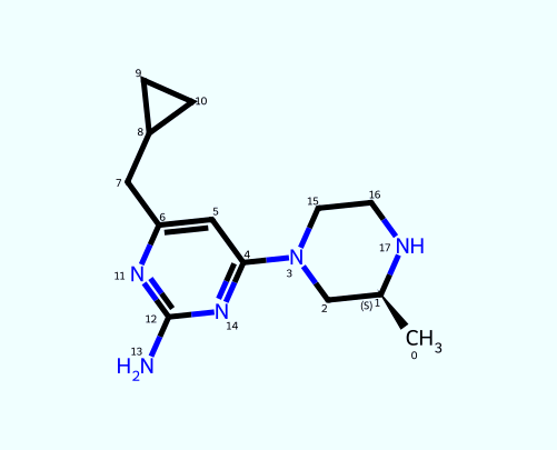 C[C@H]1CN(c2cc(CC3CC3)nc(N)n2)CCN1